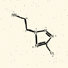 CCc1nnn(CC[NH])n1